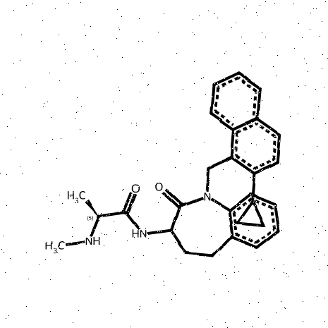 CN[C@@H](C)C(=O)NC1CCc2ccccc2N(Cc2c(C3CC3)ccc3ccccc23)C1=O